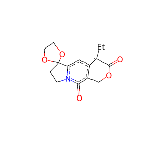 CC[C]1C(=O)OCc2c1cc1n(c2=O)CCC12OCCO2